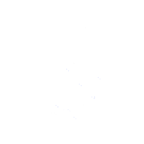 CN(c1cc(N)ccc1F)c1nc(Nc2cnn(C)c2)ncc1-c1ccc(C(F)(F)F)cc1